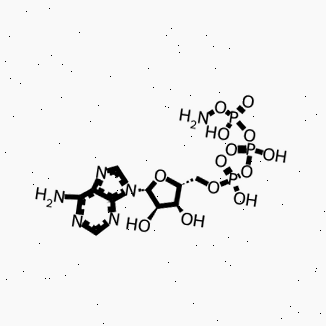 NOP(=O)(O)OP(=O)(O)OP(=O)(O)OC[C@H]1O[C@@H](n2cnc3c(N)ncnc32)[C@H](O)[C@@H]1O